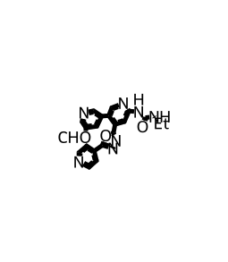 CCNC(=O)Nc1cc(-c2nnc(-c3ccncc3)o2)c(-c2cncc(C=O)c2)cn1